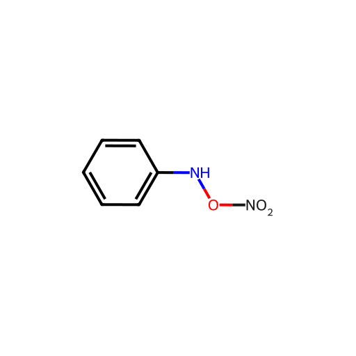 O=[N+]([O-])ONc1ccccc1